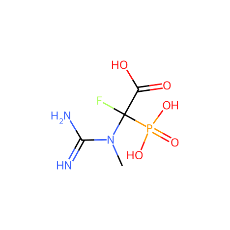 CN(C(=N)N)C(F)(C(=O)O)P(=O)(O)O